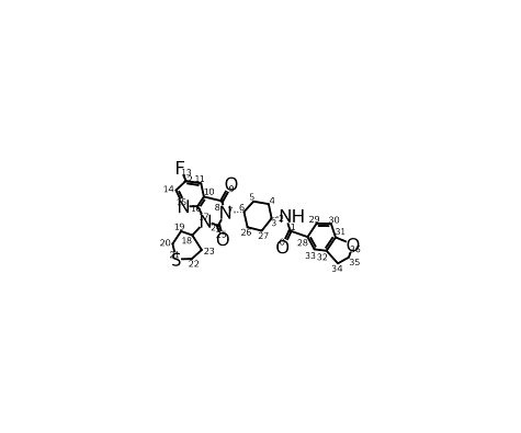 O=C(N[C@H]1CC[C@@H](n2c(=O)c3cc(F)cnc3n(C3CCSCC3)c2=O)CC1)c1ccc2c(c1)CCO2